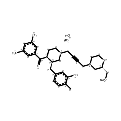 COC[C@@H]1CN(CC#CCN2CCN(C(=O)c3cc(C(F)(F)F)cc(C(F)(F)F)c3)[C@H](Cc3ccc(C)c(O)c3)C2)CCO1.Cl.Cl